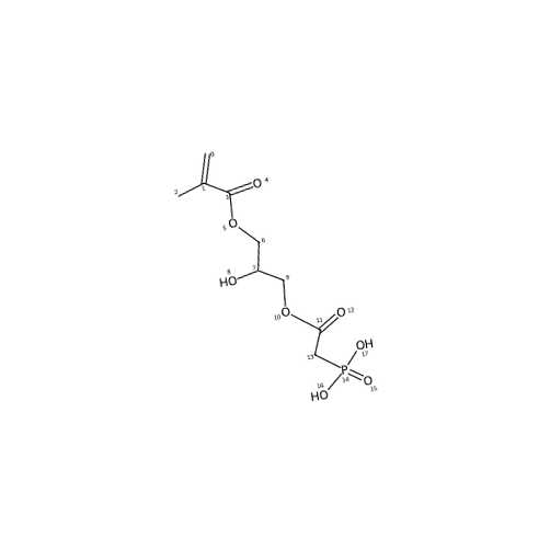 C=C(C)C(=O)OCC(O)COC(=O)CP(=O)(O)O